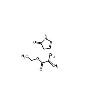 C=C(C)C(=O)OCC.O=C1CC=CN1